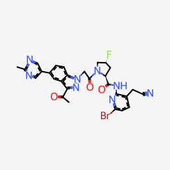 CC(=O)c1nn(CC(=O)N2C[C@H](F)C[C@H]2C(=O)Nc2nc(Br)ccc2CC#N)c2ccc(-c3cnc(C)nc3)cc12